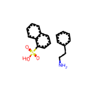 NCCc1ccccc1.O=S(=O)(O)c1cccc2ccccc12